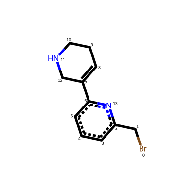 BrCc1cccc(C2=CCCNC2)n1